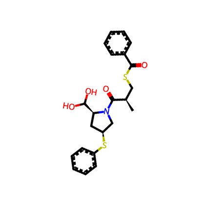 C[C@H](CSC(=O)c1ccccc1)C(=O)N1C[C@@H](Sc2ccccc2)C[C@H]1C(O)O